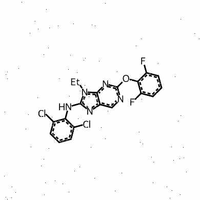 CCn1c(Nc2c(Cl)cccc2Cl)nc2cnc(Oc3c(F)cccc3F)nc21